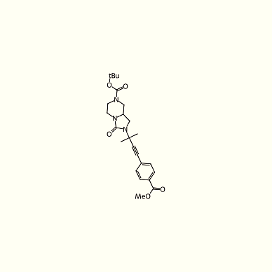 COC(=O)c1ccc(C#CC(C)(C)N2CC3CN(C(=O)OC(C)(C)C)CCN3C2=O)cc1